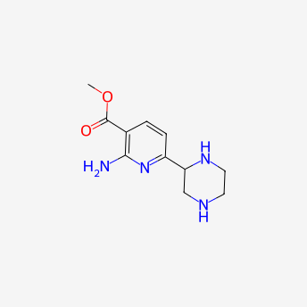 COC(=O)c1ccc(C2CNCCN2)nc1N